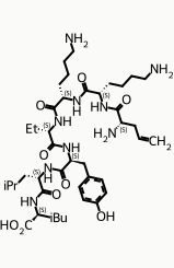 C=CC[C@H](N)C(=O)N[C@@H](CCCCN)C(=O)N[C@@H](CCCCN)C(=O)N[C@@H](CC)C(=O)N[C@@H](Cc1ccc(O)cc1)C(=O)N[C@@H](CC(C)C)C(=O)N[C@H](C(=O)O)C(C)CC